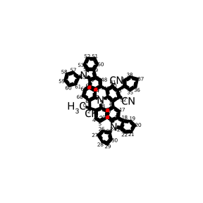 CC1(C)c2ccccc2N(c2c(-c3ccc4c(c3)c3ccccc3n4-c3ccccc3)c(C#N)c(-c3ccccc3)c(C#N)c2-c2ccc3c(c2)c2ccccc2n3-c2ccccc2)c2ccccc21